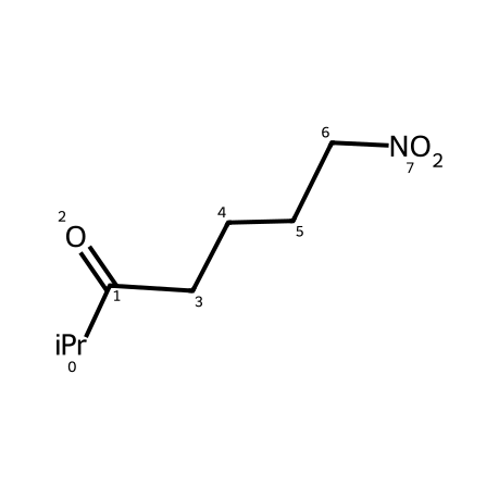 CC(C)C(=O)CCCC[N+](=O)[O-]